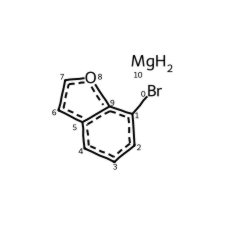 Brc1cccc2ccoc12.[MgH2]